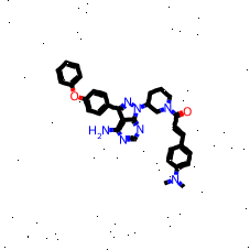 CN(C)c1ccc(C=CC(=O)N2CCCC(n3nc(-c4ccc(Oc5ccccc5)cc4)c4c(N)ncnc43)C2)cc1